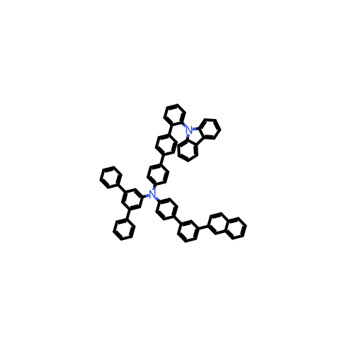 c1ccc(-c2cc(-c3ccccc3)cc(N(c3ccc(-c4ccc(-c5ccccc5-n5c6ccccc6c6ccccc65)cc4)cc3)c3ccc(-c4cccc(-c5ccc6ccccc6c5)c4)cc3)c2)cc1